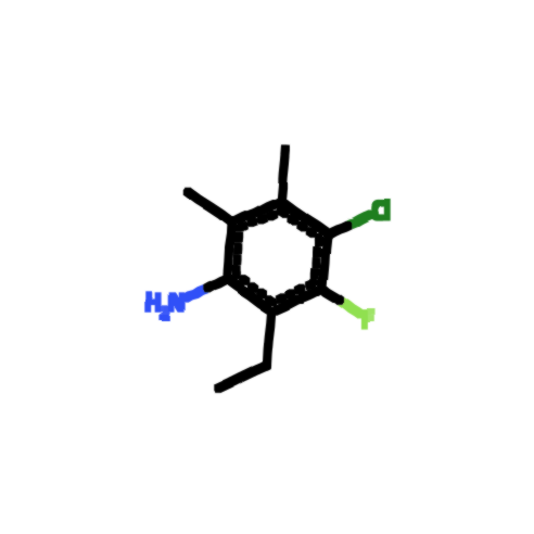 CCc1c(N)c(C)c(C)c(Cl)c1F